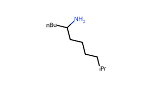 CCCCC(N)CCCCC(C)C